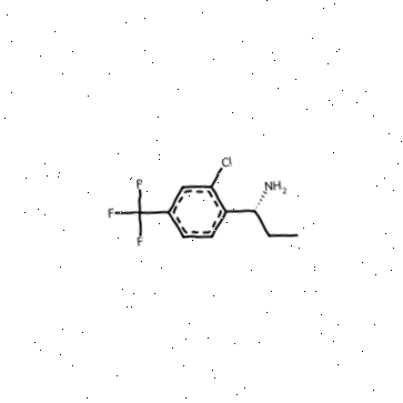 CC[C@@H](N)c1ccc(C(F)(F)F)cc1Cl